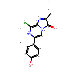 Cc1nc2c(Br)[nH]c(-c3ccc(O)cc3)cn-2c1=O